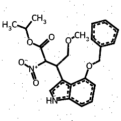 COCC(c1c[nH]c2cccc(OCc3ccccc3)c12)C(C(=O)OC(C)C)[N+](=O)[O-]